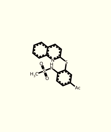 CC(=O)c1ccc(NS(C)(=O)=O)c(Sc2ccc3ccccc3n2)c1